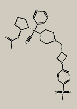 CC(=O)S[C@H]1CCC[C@@H]1C(C#N)(c1ccccc1)C1CCN(CC2CN(c3ccc(S(C)(=O)=O)cc3)C2)CC1